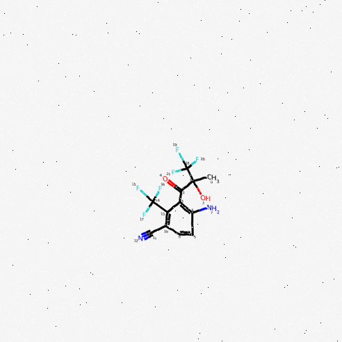 CC(O)(C(=O)c1c(N)ccc(C#N)c1C(F)(F)F)C(F)(F)F